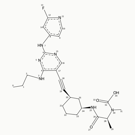 CCCNc1nc(Nc2ccnc(F)c2)ncc1C#C[C@@H]1CCC[C@H](NC(=O)[C@H](C)N(C)C(=O)O)C1